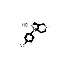 Cl.N#Cc1ccc(-n2ncc3c2CCNC3)cc1